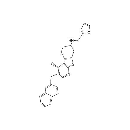 O=c1c2c3c(sc2ncn1Cc1ccc2ccccc2c1)CC(NCc1ccco1)CC3